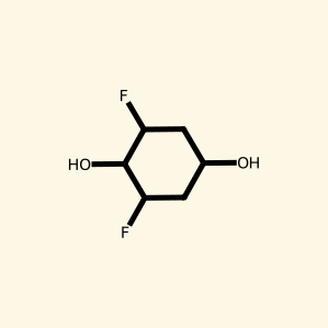 OC1CC(F)C(O)C(F)C1